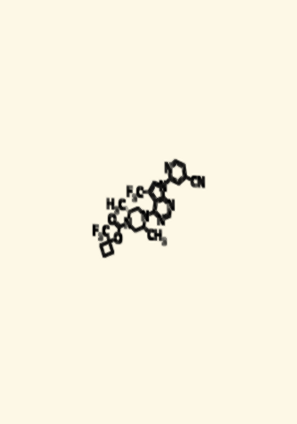 C[C@@H]1CN(c2ncnc3c2c(C(F)(F)F)cn3-c2cc(C#N)ccn2)[C@@H](C)CN1C(=O)OC1(C(F)(F)F)CCC1